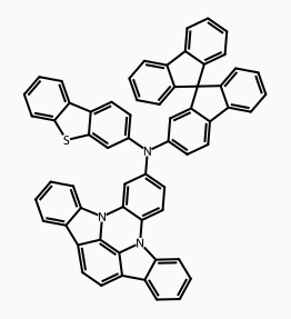 c1ccc2c(c1)-c1ccccc1C21c2ccccc2-c2ccc(N(c3ccc4c(c3)sc3ccccc34)c3ccc4c(c3)n3c5ccccc5c5ccc6c7ccccc7n4c6c53)cc21